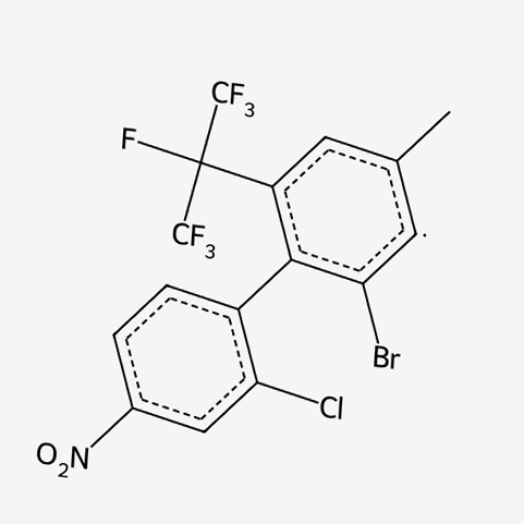 Cc1[c]c(Br)c(-c2ccc([N+](=O)[O-])cc2Cl)c(C(F)(C(F)(F)F)C(F)(F)F)c1